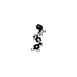 O=C(c1ccc(Cl)c(Cl)c1)N1CCc2c(ncnc2NCC(O)C23CC4CC(CC(C4)C2)C3)C1